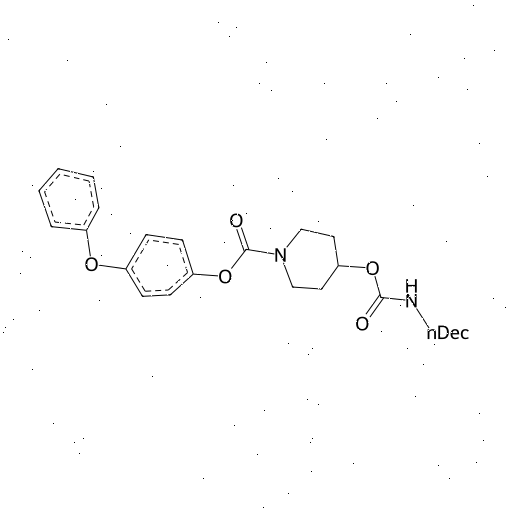 CCCCCCCCCCNC(=O)OC1CCN(C(=O)Oc2ccc(Oc3ccccc3)cc2)CC1